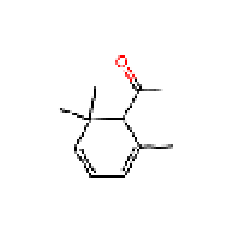 CC(=O)C1C(C)=CC=CC1(C)C